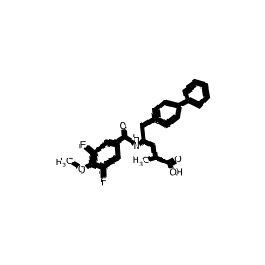 COc1c(F)cc(C(=O)NC(Cc2ccc(-c3ccccc3)cc2)CC(C)C(=O)O)cc1F